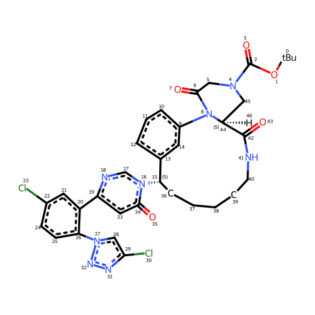 CC(C)(C)OC(=O)N1CC(=O)N2c3cccc(c3)[C@@H](n3cnc(-c4cc(Cl)ccc4-n4cc(Cl)nn4)cc3=O)CCCCCNC(=O)[C@@H]2C1